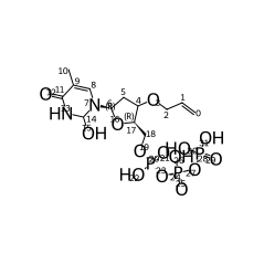 C=CCOC1C[C@H](N2C=C(C)C(=O)NC2O)O[C@@H]1COP(=O)(O)OP(=O)(O)OP(=O)(O)O